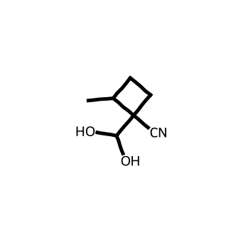 CC1CCC1(C#N)C(O)O